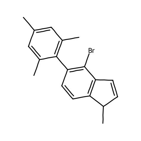 Cc1cc(C)c(-c2ccc3c(c2Br)C=CC3C)c(C)c1